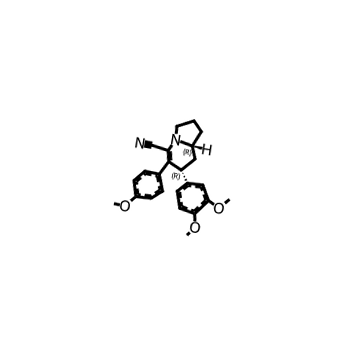 COc1ccc(C2=C(C#N)N3CCC[C@@H]3C[C@@H]2c2ccc(OC)c(OC)c2)cc1